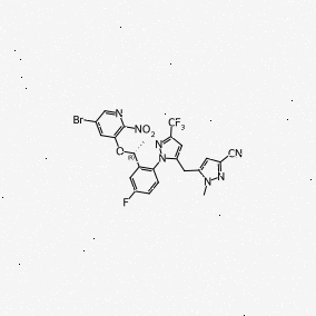 C[C@@H](Oc1cc(Br)cnc1[N+](=O)[O-])c1cc(F)ccc1-n1nc(C(F)(F)F)cc1Cc1cc(C#N)nn1C